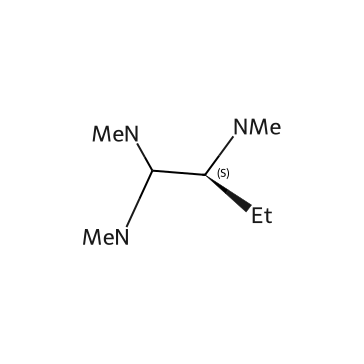 CC[C@H](NC)C(NC)NC